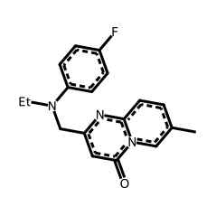 CCN(Cc1cc(=O)n2cc(C)ccc2n1)c1ccc(F)cc1